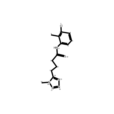 Cc1c(Cl)cccc1NC(=S)CCCc1nnnn1C